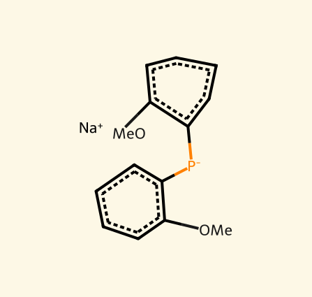 COc1ccccc1[P-]c1ccccc1OC.[Na+]